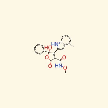 CONC(=O)C1=C(c2cc3c(C)cccc3[nH]2)C(O)(c2ccccc2)OC1=O